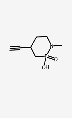 C#CC1CCN(C)P(=O)(O)C1